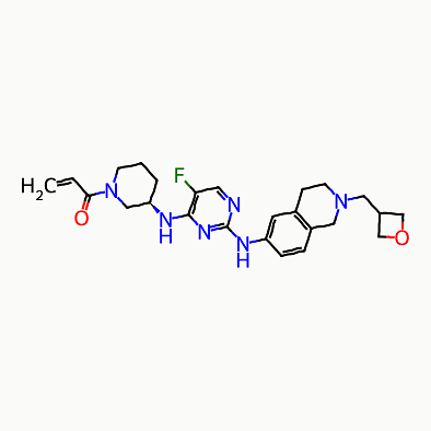 C=CC(=O)N1CCC[C@@H](Nc2nc(Nc3ccc4c(c3)CCN(CC3COC3)C4)ncc2F)C1